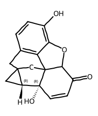 O=C1C=C[C@@]2(O)[C@@H]3CC34Cc3ccc(O)c5c3C2(C4)C1O5